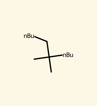 CCCCCC(C)(C)CCCC